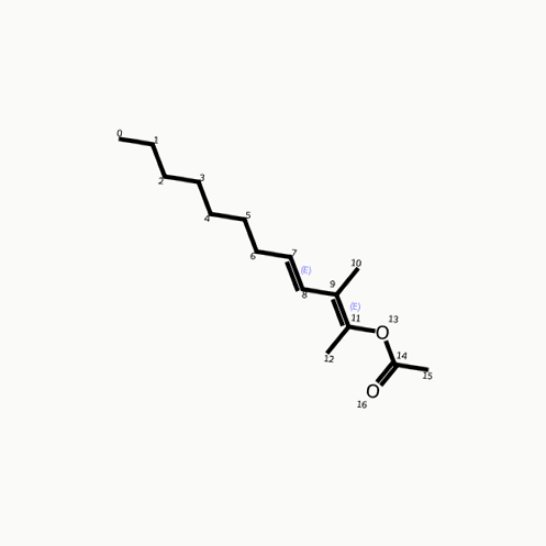 CCCCCCC/C=C/C(C)=C(\C)OC(C)=O